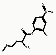 CSCCC(N)C(=O)Nc1ccc([N+](=O)[O-])cc1Cl